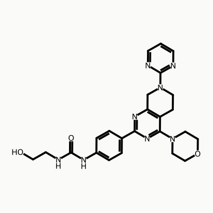 O=C(NCCO)Nc1ccc(-c2nc3c(c(N4CCOCC4)n2)CCN(c2ncccn2)C3)cc1